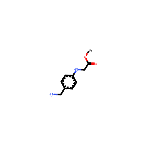 CC(C)OC(=O)CNc1ccc(CN)cc1